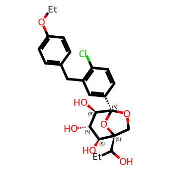 CCOc1ccc(Cc2cc([C@]34OC[C@@](C(O)CC)(O3)[C@@H](O)[C@H](O)[C@H]4O)ccc2Cl)cc1